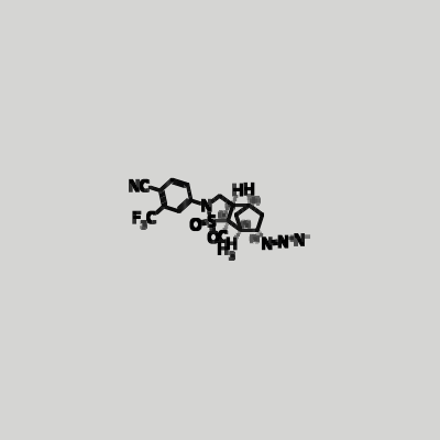 C[C@@]12[C@@H](CN(c3ccc(C#N)c(C(F)(F)F)c3)S1(=O)=O)[C@H]1C[C@H](N=[N+]=[N-])[C@@H]2C1